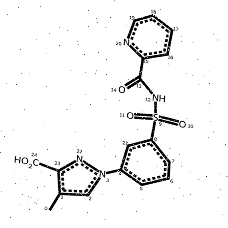 Cc1cn(-c2cccc(S(=O)(=O)NC(=O)c3ccccn3)c2)nc1C(=O)O